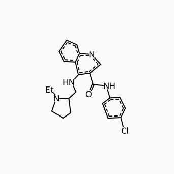 CCN1CCCC1CNc1c(C(=O)Nc2ccc(Cl)cc2)cnc2ccccc12